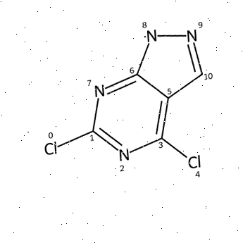 Clc1nc(Cl)c2c(n1)[N]N=C2